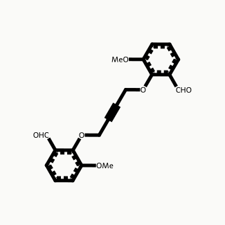 COc1cccc(C=O)c1OCC#CCOc1c(C=O)cccc1OC